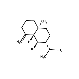 C=C1CCC[C@@]2(C)CC[C@H](C(C)C)[C@@H](O)[C@H]12